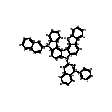 c1ccc(-c2nc(-n3c4ccc5c6ccccc6oc5c4c4c5c6ccccc6n(-c6ccc7ccccc7c6)c5ccc43)nc3ccccc23)cc1